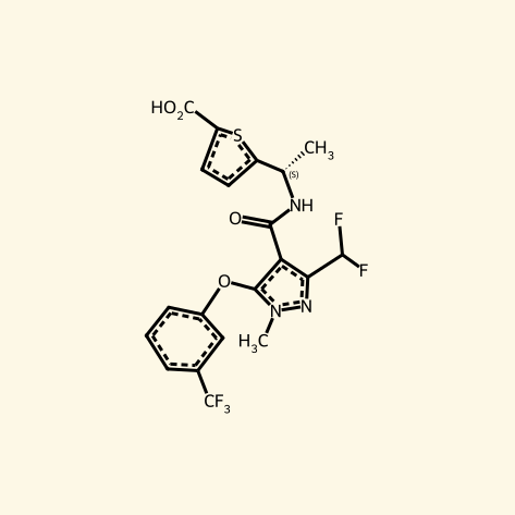 C[C@H](NC(=O)c1c(C(F)F)nn(C)c1Oc1cccc(C(F)(F)F)c1)c1ccc(C(=O)O)s1